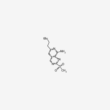 CC(C)(C)CCc1cc2cnc(S(C)(=O)=O)nc2c(N)n1